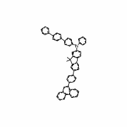 CC1(C)c2cc(-c3ccc(-c4cc5ccccc5c5ccccc45)cc3)ccc2-c2ccc(N(c3ccccc3)c3ccc(-c4ccc(-c5ccccc5)cc4)cc3)cc21